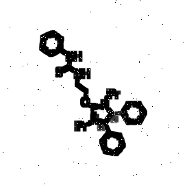 CC(C)N1[C@H](c2ccccc2)[C@@H](c2ccccc2)N(C(C)C)P1OCCNC(=S)Nc1ccccc1